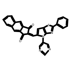 O=C1C(=Cc2cc3sc(-c4ccccc4)nc3n2-c2cncnc2)C(=O)c2cc3ccccc3cc21